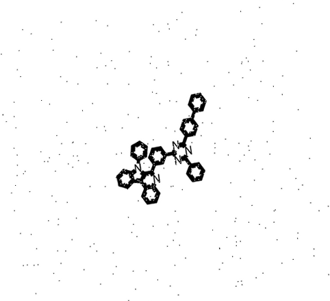 c1ccc(-c2ccc(-c3nc(-c4ccccc4)nc(-c4cccc(-c5nc6ccccc6c6c7ccccc7n(-c7ccccc7)c56)c4)n3)cc2)cc1